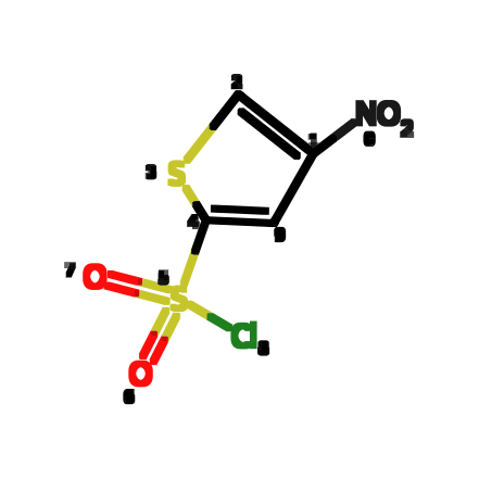 O=[N+]([O-])c1csc(S(=O)(=O)Cl)c1